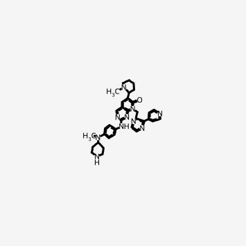 CN1CCCCC1c1cc2cnc(Nc3ccc(N(C)C4CCNCC4)cc3)nc2n(Cc2nccnc2-c2ccncc2)c1=O